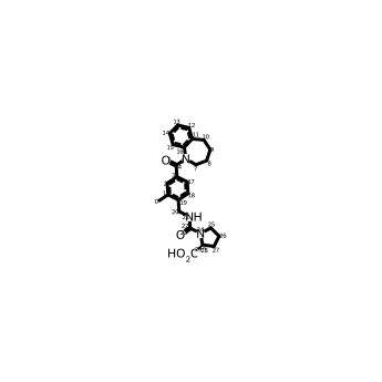 Cc1cc(C(=O)N2CCCCc3ccccc32)ccc1CNC(=O)N1CCC[C@H]1C(=O)O